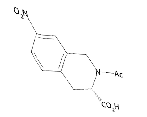 CC(=O)N1Cc2cc([N+](=O)[O-])ccc2C[C@H]1C(=O)O